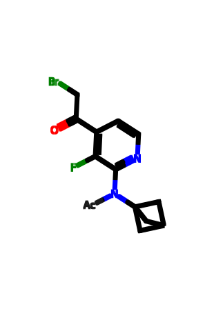 CC(=O)N(c1nccc(C(=O)CBr)c1F)C12CC(C1)C2